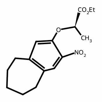 CCOC(=O)[C@@H](C)Oc1cc2c(cc1[N+](=O)[O-])CCCCC2